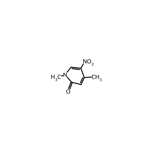 Cc1cc(=O)n(C)cc1[N+](=O)[O-]